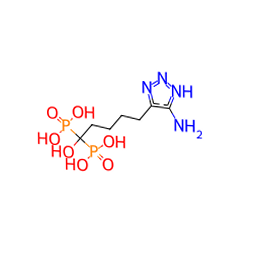 Nc1[nH]nnc1CCCCC(O)(P(=O)(O)O)P(=O)(O)O